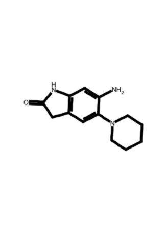 Nc1cc2c(cc1N1CCCCC1)CC(=O)N2